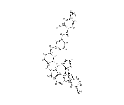 CCn1cncc1Cn1c(CN2CCC(Oc3cccc(COc4ccc(C)cc4F)c3)CC2)nc2ccc(/C(C)=C/C(=O)O)cc21